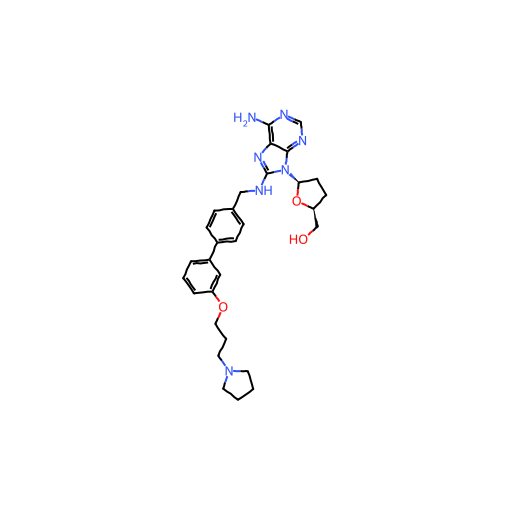 Nc1ncnc2c1nc(NCc1ccc(-c3cccc(OCCCN4CCCC4)c3)cc1)n2[C@H]1CC[C@@H](CO)O1